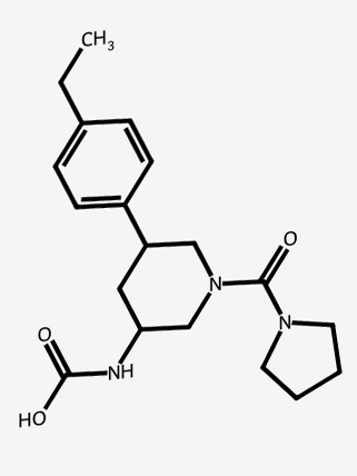 CCc1ccc(C2CC(NC(=O)O)CN(C(=O)N3CCCC3)C2)cc1